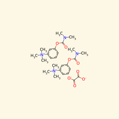 CN(C)C(=O)Oc1cccc([N+](C)(C)C)c1.CN(C)C(=O)Oc1cccc([N+](C)(C)C)c1.O=C([O-])C(=O)[O-]